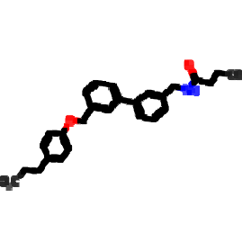 O=C(O)CCC(=O)NCc1cccc(-c2cccc(COc3ccc(CCC(=O)O)cc3)c2)c1